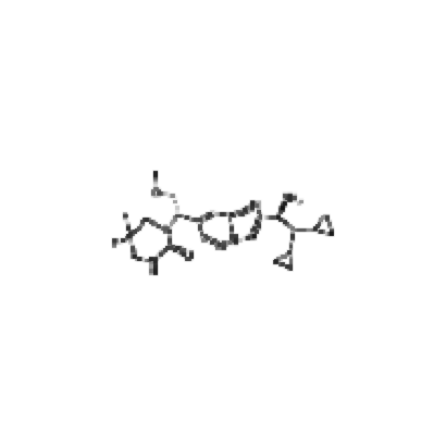 COC[C@H](c1cnn2cc([C@@H](N)C(C3CC3)C3CC3)nc2c1)N1CC(F)(F)CNC1=O